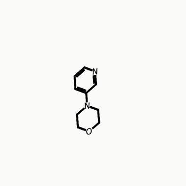 c1cncc(N2CCOCC2)c1